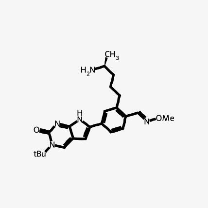 CO/N=C/c1ccc(-c2cc3cn(C(C)(C)C)c(=O)nc3[nH]2)cc1CCC[C@H](C)N